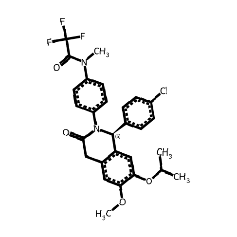 COc1cc2c(cc1OC(C)C)[C@H](c1ccc(Cl)cc1)N(c1ccc(N(C)C(=O)C(F)(F)F)cc1)C(=O)C2